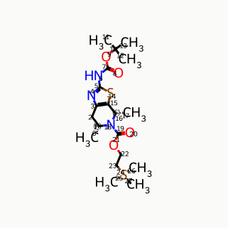 C[C@@H]1Cc2nc(NC(=O)OC(C)(C)C)sc2[C@H](C)N1C(=O)OCCS(C)(C)C